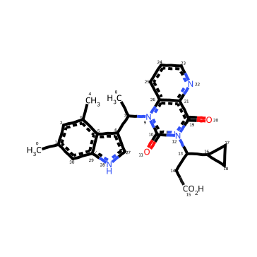 Cc1cc(C)c2c(C(C)n3c(=O)n(C(CC(=O)O)C4CC4)c(=O)c4ncccc43)c[nH]c2c1